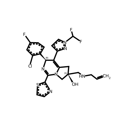 C=CCNC[C@@]1(O)CC2=C(c3ccn(C(F)F)n3)[C@H](c3ccc(F)cc3Cl)N=C(c3nccs3)N2C1